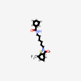 O=C(NCCCCCCn1sc2c(C(F)(F)F)cccc2c1=O)c1ccccc1